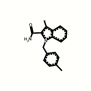 [CH2]c1c(C(N)=O)n(Cc2ccc(C)cc2)c2ccccc12